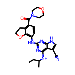 CCC(C)Nc1nc(Nc2ccc(C(=O)N3CCOCC3)c3c2OCC3)nc2[nH]cc(C#N)c12